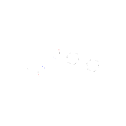 CC(=O)C(=O)N1CCN(C(=O)c2ccc(-c3ccccc3)cc2)CC1